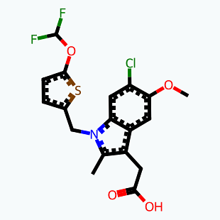 COc1cc2c(CC(=O)O)c(C)n(Cc3ccc(OC(F)F)s3)c2cc1Cl